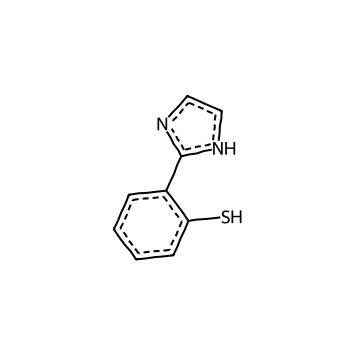 Sc1ccccc1-c1ncc[nH]1